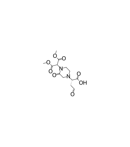 COC(=O)C(C(=O)OC)N1CCN([C@@H](CC=O)C(=O)O)CC1=O